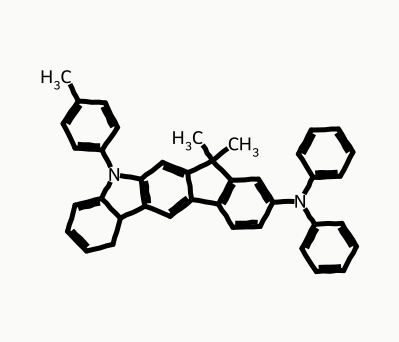 Cc1ccc(N2C3=CC=CCC3c3cc4c(cc32)C(C)(C)c2cc(N(c3ccccc3)c3ccccc3)ccc2-4)cc1